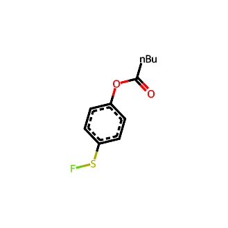 CCCCC(=O)Oc1ccc(SF)cc1